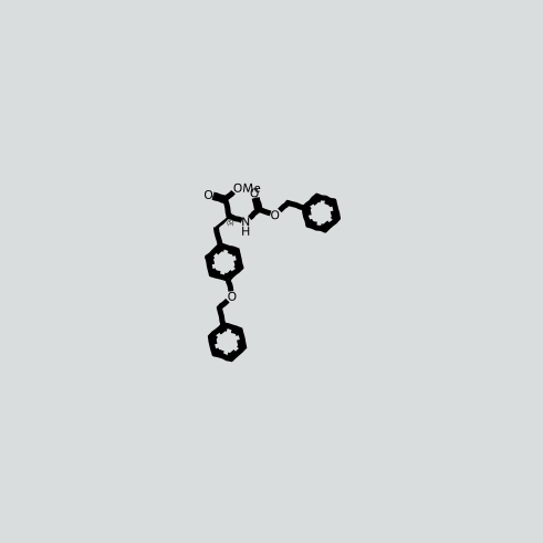 COC(=O)[C@H](Cc1ccc(OCc2ccccc2)cc1)NC(=O)OCc1ccccc1